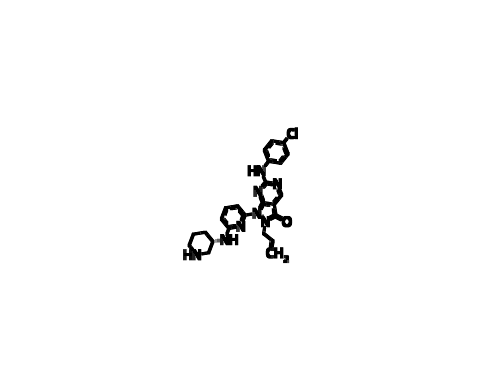 C=CCn1c(=O)c2cnc(Nc3ccc(Cl)cc3)nc2n1-c1cccc(N[C@H]2CCCNC2)n1